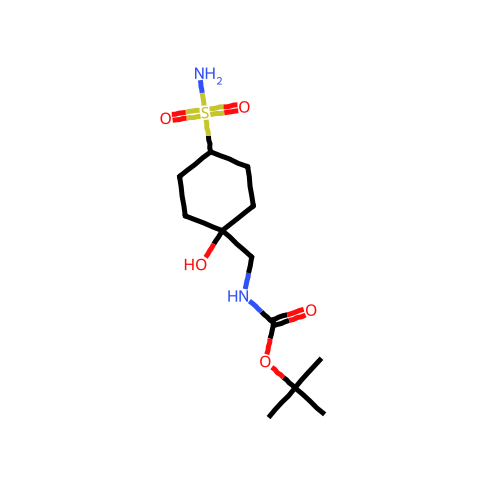 CC(C)(C)OC(=O)NCC1(O)CCC(S(N)(=O)=O)CC1